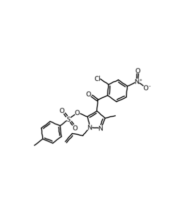 C=CCn1nc(C)c(C(=O)c2ccc([N+](=O)[O-])cc2Cl)c1OS(=O)(=O)c1ccc(C)cc1